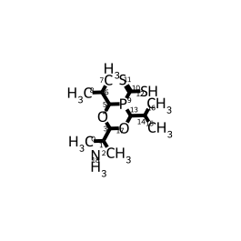 CC(C)C1OC(C(C)C)P(C(=S)S)C(C(C)C)O1.N